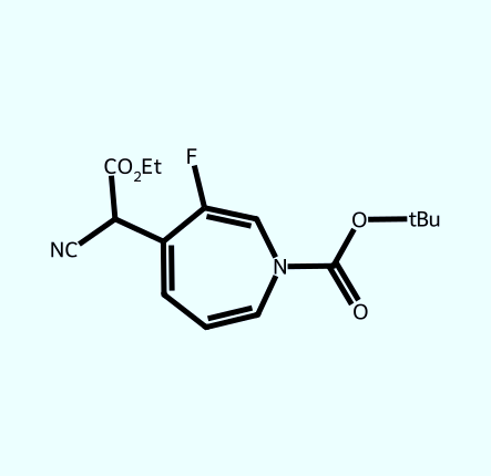 CCOC(=O)C(C#N)C1=CC=CN(C(=O)OC(C)(C)C)C=C1F